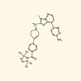 [2H]C([2H])([2H])N(C(=O)c1ccc(C2=CCN([C@@H](C)c3cc4c(-c5ccc(N)nn5)ccnc4n3C)CC2)cc1)C([2H])([2H])[2H]